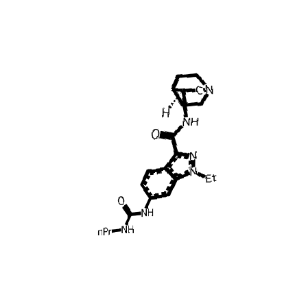 CCCNC(=O)Nc1ccc2c(C(=O)N[C@@H]3CN4CCC3CC4)nn(CC)c2c1